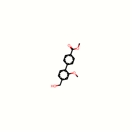 COC(=O)c1ccc(-c2ccc(CO)cc2OC)cc1